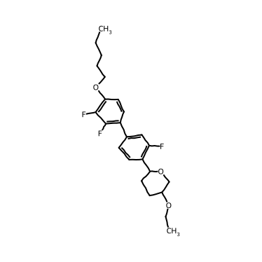 CCCCCOc1ccc(-c2ccc(C3CCC(OCC)CO3)c(F)c2)c(F)c1F